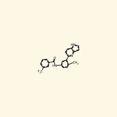 Cc1ccc(NC(=O)c2cccc(C(F)(F)F)c2)cc1-c1ccc2[nH]ccc2n1